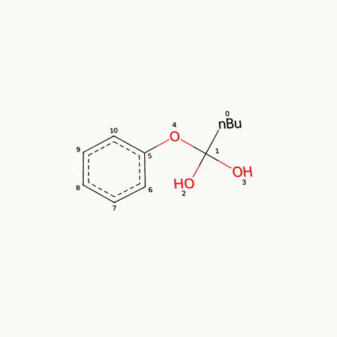 CCCCC(O)(O)Oc1ccccc1